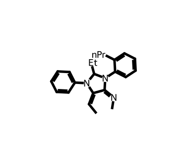 C/C=C1\C(=N/C)N(c2ccccc2CCC)C(CC)N1c1ccccc1